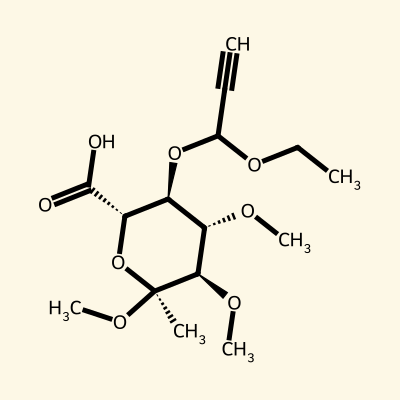 C#CC(OCC)O[C@H]1[C@H](OC)[C@@H](OC)[C@@](C)(OC)O[C@@H]1C(=O)O